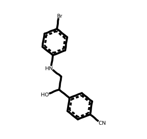 N#Cc1ccc(C(O)CNc2ccc(Br)cc2)cc1